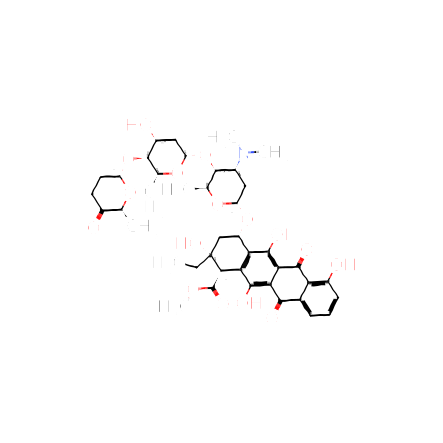 CC[C@@]1(O)C[C@H](O[C@H]2C[C@H](N(C)C)[C@H](O[C@H]3C[C@H](O)[C@H](O[C@H]4CCC(=O)[C@H](C)O4)[C@H](C)O3)[C@H](C)O2)c2c(O)c3c(c(O)c2[C@H]1C(=O)OC)C(=O)c1cccc(O)c1C3=O